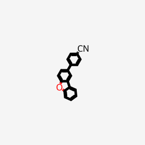 N#Cc1ccc(-c2ccc3oc4ccccc4c3c2)cc1